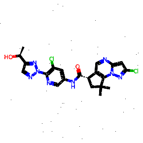 C[C@H](O)c1cnn(-c2ncc(NC(=O)[C@H]3CC(C)(C)c4c3cnc3cc(Cl)nn43)cc2Cl)n1